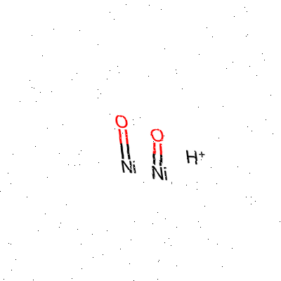 [H+].[O]=[Ni].[O]=[Ni]